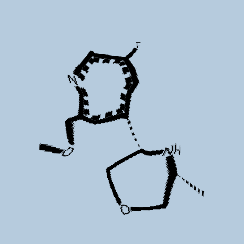 COc1ncc(F)cc1[C@H]1COC[C@@H](C)N1